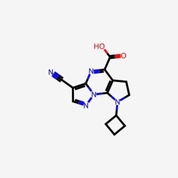 N#Cc1cnn2c3c(c(C(=O)O)nc12)CCN3C1CCC1